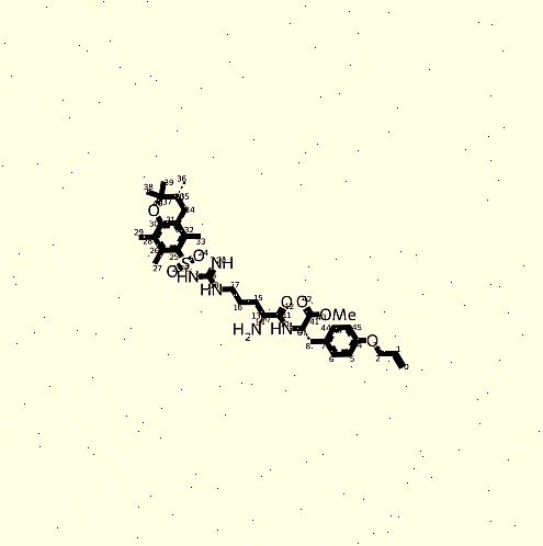 C=CCOc1ccc(C[C@H](NC(=O)[C@H](N)CCCNC(=N)NS(=O)(=O)c2c(C)c(C)c3c(c2C)C[C@@H](C)C(C)(C)O3)C(=O)OC)cc1